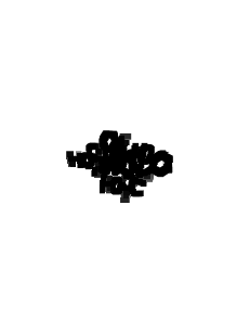 COc1ccccc1[C@H](CC(=O)O)NC(=O)c1cc(OC[C@@](C)(O)C(C)C)n(-c2ccccc2F)n1